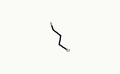 CCC[CH]C[S]